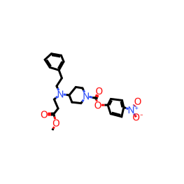 COC(=O)CCN(CCc1ccccc1)C1CCN(C(=O)Oc2ccc([N+](=O)[O-])cc2)CC1